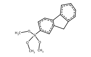 CO[Si](OC)(OC)c1ccc2c(c1)Cc1ccccc1-2